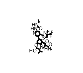 CCNC(=O)Nc1cc(-c2nc(C(F)(F)F)cs2)c(-c2ccc3c(c2)c(=O)c(C(=O)NC)cn3C(C(=O)O)C(C)C)cn1